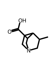 CC1CN2CCC1C(C(=O)O)C2